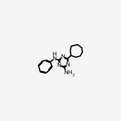 Nc1nc(NC2=C/C=C\C=C/C=C\2)nc(C2CCCCCCC2)n1